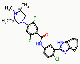 C[C@@H]1CN(c2cc(Cl)c(C(=O)Nc3ccc(Cl)c(-c4nc5ccccc5[nH]4)c3)cc2F)C[C@H](C)N1C